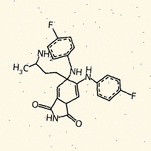 CC(N)CCC1(Nc2ccc(F)cc2)C=C2C(=O)NC(=O)C2C=C1Nc1ccc(F)cc1